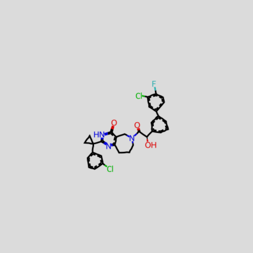 O=C([C@H](O)c1cccc(-c2ccc(F)c(Cl)c2)c1)N1CCCc2nc(C3(c4cccc(Cl)c4)CC3)[nH]c(=O)c2C1